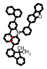 CC1(C)c2ccccc2-c2cccc(-c3ccc(N(c4cccc(-c5ccc6c(c5)oc5ccccc56)c4)c4cc(-c5cccc6ccccc56)ccc4-c4ccccc4)cc3)c21